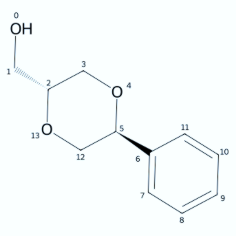 OC[C@@H]1CO[C@@H](c2ccccc2)CO1